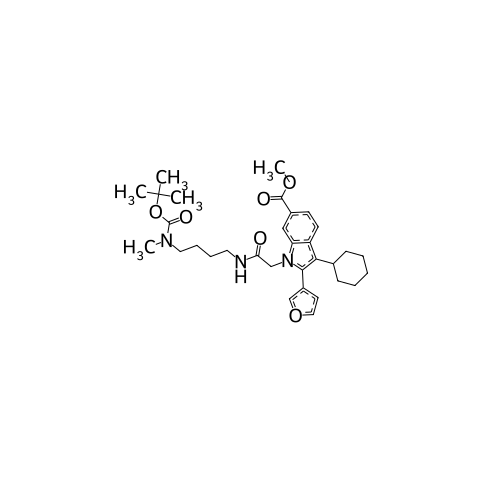 COC(=O)c1ccc2c(C3CCCCC3)c(-c3ccoc3)n(CC(=O)NCCCCN(C)C(=O)OC(C)(C)C)c2c1